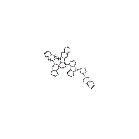 c1cc(-c2ccc3ccccc3c2)cc(-n2c3ccccc3c3c(-c4cccc5c4c4cc6ccccc6cc4n5-c4nc5ccccc5nc4-c4ccc5ccccc5c4)cccc32)c1